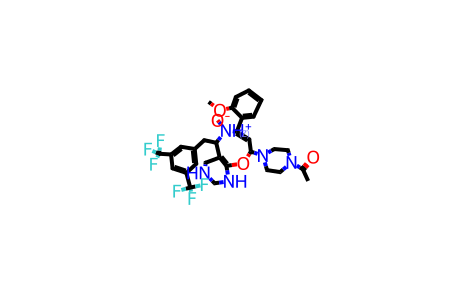 COc1ccccc1/C1=C/C(N2CCN(C(C)=O)CC2)OC2=C(CNCN2)C(Cc2cc(C(F)(F)F)cc(C(F)(F)F)c2)[NH+]1[O-]